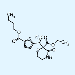 CCCCOC(=O)c1ccc(C(C)C2(C(=O)OCC)SCCNC2=O)s1